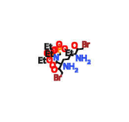 CCOP(=O)(CN(C(=O)[C@@](N)(CCCC(N)C(=O)CBr)C(=O)CBr)P(=O)(OCC)OCC)OCC